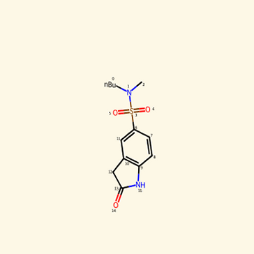 CCCCN(C)S(=O)(=O)c1ccc2c(c1)CC(=O)N2